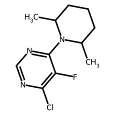 CC1CCCC(C)N1c1ncnc(Cl)c1F